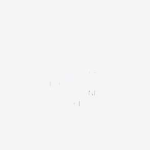 CC(=N)/C(C)=C(\O)c1ccccc1